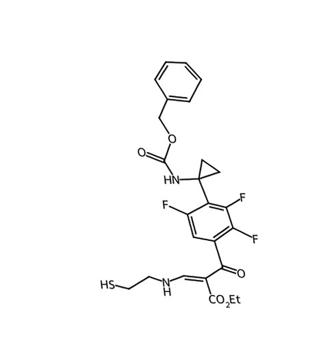 CCOC(=O)C(=CNCCS)C(=O)c1cc(F)c(C2(NC(=O)OCc3ccccc3)CC2)c(F)c1F